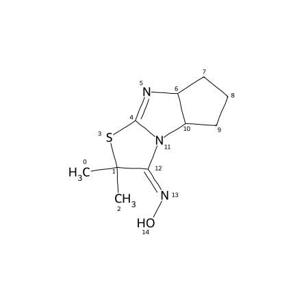 CC1(C)SC2=NC3CCCC3N2C1=NO